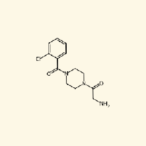 NCC(=O)N1CCN(C(=O)c2ccccc2Cl)CC1